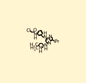 CC(C)c1cnn2c(NCc3cccc(NC(=O)CCl)c3)cc(N[C@H]3CCC(C)(C)NC3)nc12